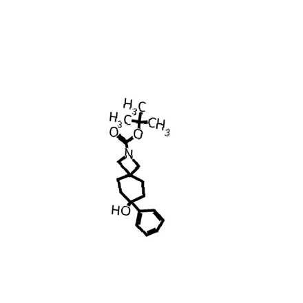 CC(C)(C)OC(=O)N1CC2(CCC(O)(c3ccccc3)CC2)C1